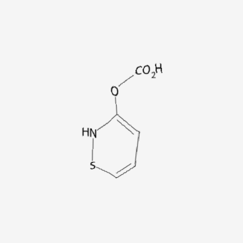 O=C(O)OC1=CC=CSN1